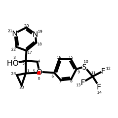 CC1(C(O)(COc2ccc(SC(F)(F)F)cc2)c2cncnc2)CC1